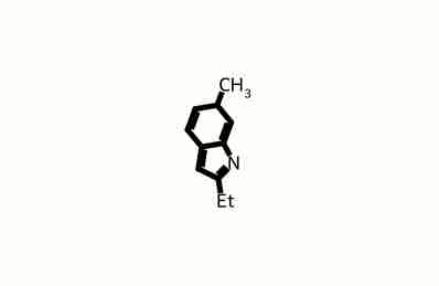 CCC1=NC2=CC(C)C=CC2=C1